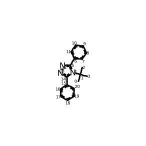 CC(C)(C)n1c(-c2ccccc2)nnc1-c1ccccc1